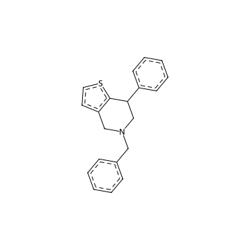 c1ccc(CN2Cc3ccsc3C(c3ccccc3)C2)cc1